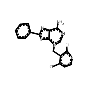 Nc1ncn(Cc2c(Cl)ccnc2Cl)c2nc(-c3ccccc3)nc1-2